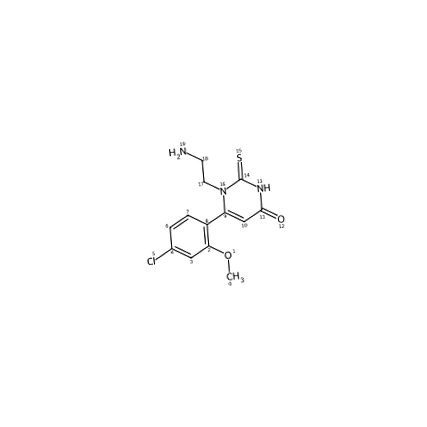 COc1cc(Cl)ccc1-c1cc(=O)[nH]c(=S)n1CCN